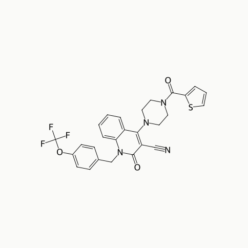 N#Cc1c(N2CCN(C(=O)c3cccs3)CC2)c2ccccc2n(Cc2ccc(OC(F)(F)F)cc2)c1=O